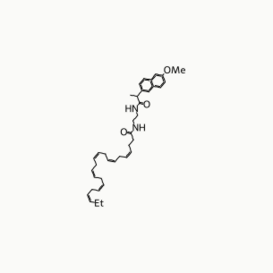 CC/C=C\C/C=C\C/C=C\C/C=C\C/C=C\C/C=C\CCC(=O)NCCNC(=O)C(C)c1ccc2cc(OC)ccc2c1